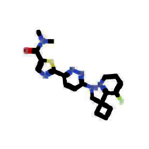 CN(C)C(=O)c1cnc(-c2ccc(NCC3(c4ncccc4F)CCC3)nn2)s1